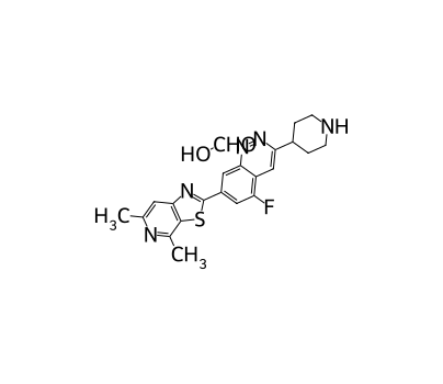 Cc1cc2nc(-c3cc(F)c4cc(C5CCNCC5)nnc4c3)sc2c(C)n1.O=CO